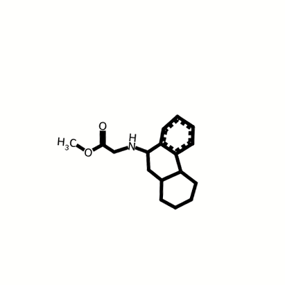 COC(=O)CNC1CC2CCCCC2c2ccccc21